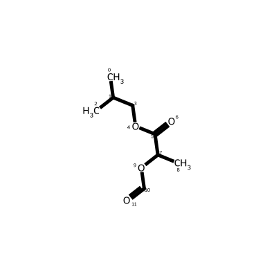 CC(C)COC(=O)C(C)O[C]=O